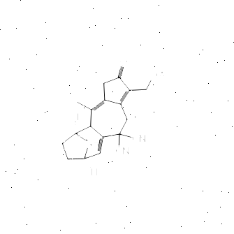 CC(=O)OCC1=C2CC(C#N)(C#N)C3=C[C@H]4CC[C@H](N4)C3C(C)=C2CC1=O